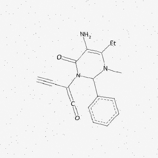 C#CC(=C=O)N1C(=O)C(N)=C(CC)N(C)C1c1ccccc1